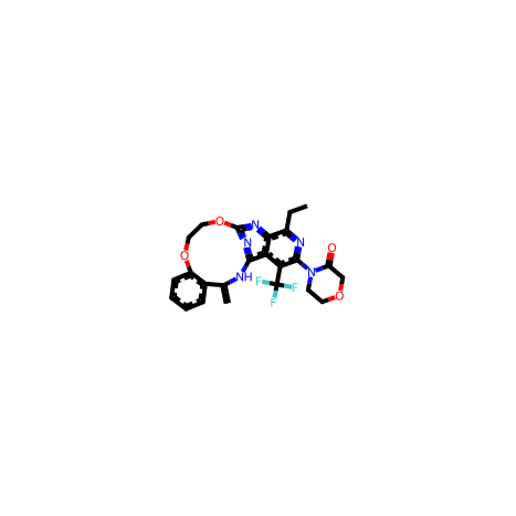 C=C1Nc2nc(nc3c(CC)nc(N4CCOCC4=O)c(C(F)(F)F)c23)OCCOc2ccccc21